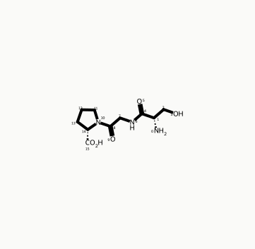 N[C@@H](CO)C(=O)NCC(=O)N1CCC[C@H]1C(=O)O